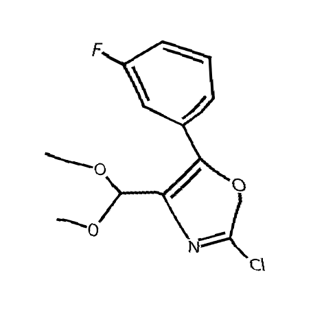 COC(OC)c1nc(Cl)oc1-c1cccc(F)c1